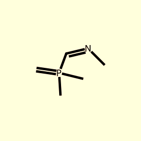 C=P(C)(C)/C=N\C